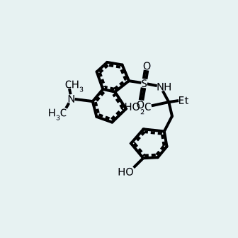 CCC(Cc1ccc(O)cc1)(NS(=O)(=O)c1cccc2c(N(C)C)cccc12)C(=O)O